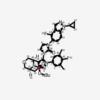 Cc1cc(-n2nc3c(c2-n2ccn(-c4ccc5c(cnn5C5CC5)c4F)c2=O)[C@@H]2COC[C@H](C3)N2C(=O)OC(C)(C)C)cc(C)c1F